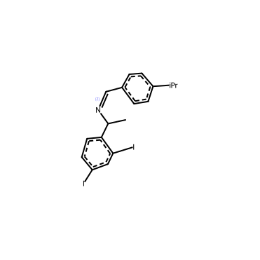 CC(C)c1ccc(/C=N\C(C)c2ccc(I)cc2I)cc1